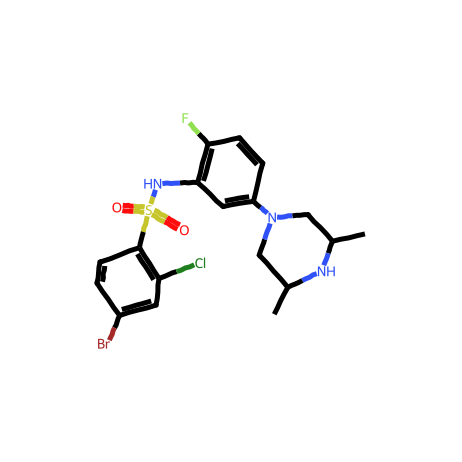 CC1CN(c2ccc(F)c(NS(=O)(=O)c3ccc(Br)cc3Cl)c2)CC(C)N1